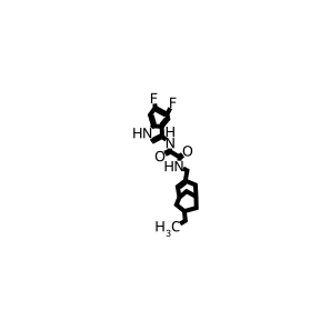 CCC1CC2C=C(CNC(=O)C(=O)Nc3c[nH]c4cc(F)c(F)cc34)CC(C2)C1